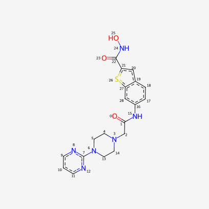 O=C(CN1CCN(c2ncccn2)CC1)Nc1ccc2cc(C(=O)NO)sc2c1